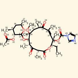 CC[C@H]1OC(=O)[C@H](C)C(=O)[C@H](C)[C@@H](OC2O[C@H](C)C[C@H](C)[C@H]2OC(C)=O)[C@](C)(OC)C[C@@H](C)C(=O)/C(C)=C/[C@]1(C)OC(=O)n1ccnc1